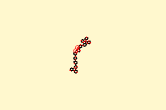 c1ccc(C2(c3ccccc3)c3ccccc3-c3ccc(-c4ccc5oc6c(ccc7c8cc(-c9ccc(-c%10ccc(-c%11ccc%12c%13ccccc%13c%13ccccc%13c%12c%11)cc%10)cc9)ccc8oc76)c5c4)cc32)cc1